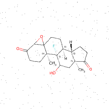 C[C@]12CCC(=O)C3OC31CC[C@H]1[C@@H]3CCC(=O)[C@@]3(C)CC(O)[C@]12F